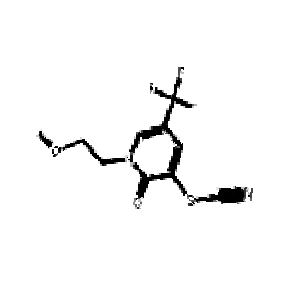 COCCn1cc(C(F)(F)F)cc(SC#N)c1=O